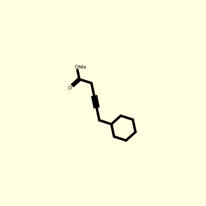 COC(=O)CC#CCC1CC[CH]CC1